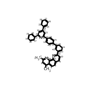 Cc1cc(C)c2ccc3ccc(-c4cccc(-c5ccc(-c6cc(-c7ccccc7)cc(-c7ccccc7)n6)cc5)c4)nc3c2n1